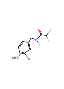 COc1ccc(CN(F)C(=O)C(F)F)cc1Br